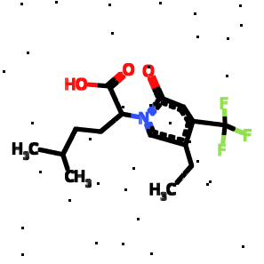 CCc1cn(C(CCC(C)C)C(=O)O)c(=O)cc1C(F)(F)F